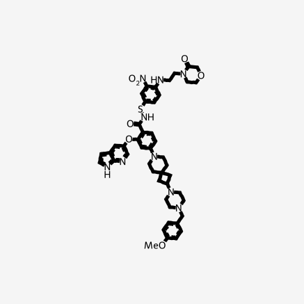 COc1ccc(CN2CCN(C3CC4(CCN(c5ccc(C(=O)NSc6ccc(NCCN7CCOCC7=O)c([N+](=O)[O-])c6)c(Oc6cnc7[nH]ccc7c6)c5)CC4)C3)CC2)cc1